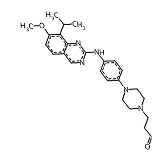 COc1ccc2cnc(Nc3ccc(N4CCN(CCC=O)CC4)cc3)nc2c1C(C)C